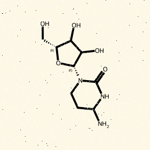 NC1CCN([C@@H]2O[C@H](CO)C(O)C2O)C(=O)N1